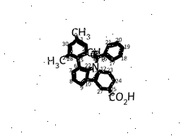 Cc1cc(C)c(-c2cccc3c4c(n(C(=O)c5ccccc5)c23)CCC(C(=O)O)C4)c(C)c1